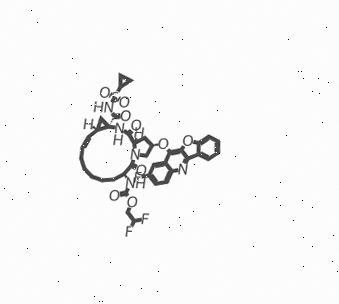 O=C(N[C@H]1CCCCC/C=C\[C@@H]2C[C@@]2(C(=O)NS(=O)(=O)C2CC2)NC(=O)[C@@H]2C[C@@H](Oc3c4cc(F)ccc4nc4c3oc3ccccc34)CN2C1=O)OCC(F)F